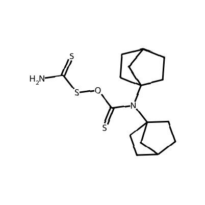 NC(=S)SOC(=S)N(C12CCC(CC1)C2)C12CCC(CC1)C2